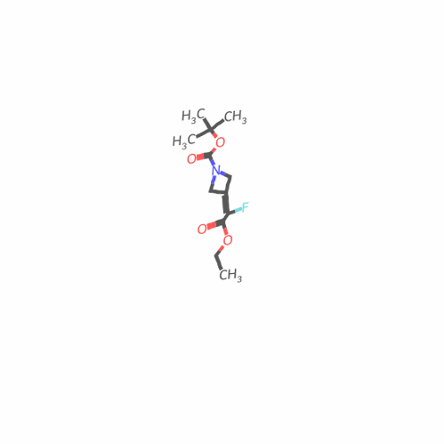 CCOC(=O)C(F)=C1CN(C(=O)OC(C)(C)C)C1